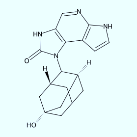 O=c1[nH]c2cnc3[nH]ccc3c2n1C1[C@@H]2CC3C[C@H]1C[C@@](O)(C3)C2